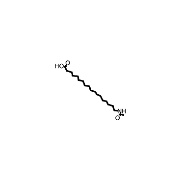 CC(=O)NCCCCCCCCCCCCCCCCCC(=O)O